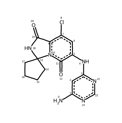 Nc1cc(Nc2cc(Cl)c3n(c2=O)C2(CCCC2)NC3=O)ncn1